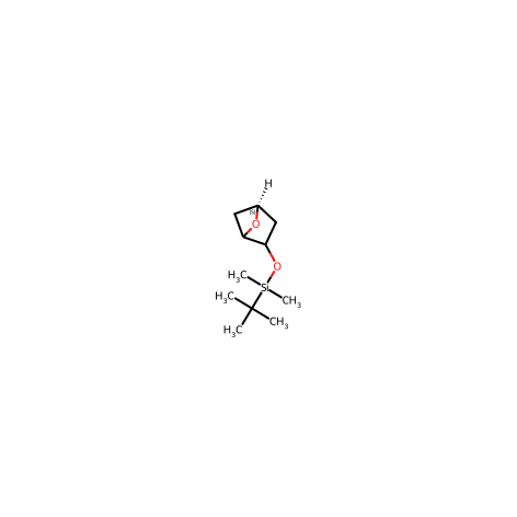 CC(C)(C)[Si](C)(C)OC1C[C@@H]2CC1O2